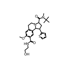 COc1cc2c(cc1C(=O)NCCO)C1C(c3cccs3)CC(C(=O)N(C)C(C)(C)C)N1CC2